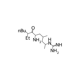 CCCCC(CC)C(=O)C(N)CC(C)CC(C)NC(=N)N